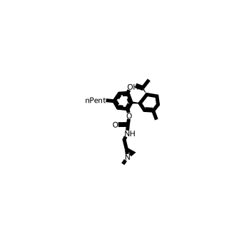 C=C(C)[C@@H]1CCC(C)=C[C@H]1c1c(O)cc(CCCCC)cc1OC(=O)NCC1CN1C